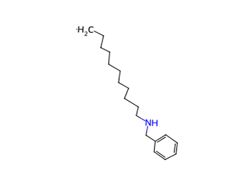 [CH2]CCCCCCCCCCNCc1ccccc1